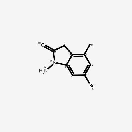 Cc1cc(Br)cc2c1CC(=O)N2N